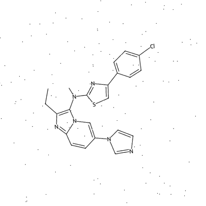 CCc1nc2ccc(-n3ccnc3)cn2c1N(C)c1nc(-c2ccc(Cl)cc2)cs1